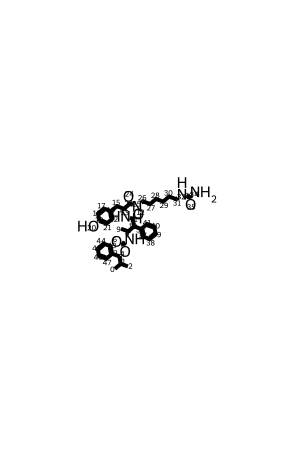 CC(C)C(OC(=O)NC(C)C(C(=O)NC(Cc1ccc(O)cc1)C(=O)NCCCCCCNC(N)=O)c1ccccc1)c1ccccc1